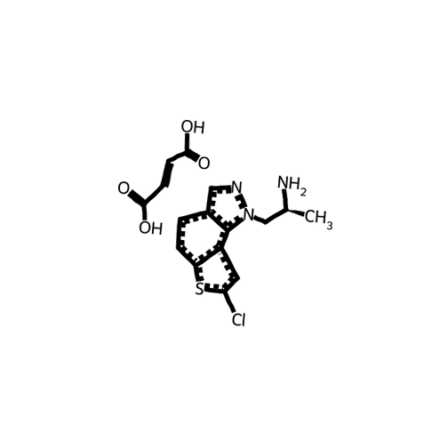 C[C@H](N)Cn1ncc2ccc3sc(Cl)cc3c21.O=C(O)C=CC(=O)O